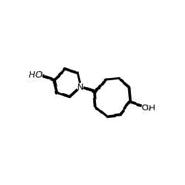 OC1CCCC(N2CCC(O)CC2)CCC1